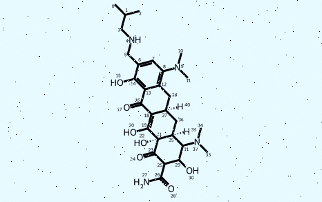 CC(C)CNCc1cc(N(C)C)c2c(c1O)C(=O)C1=C(O)[C@]3(O)C(=O)C(C(N)=O)C(O)C(N(C)C)[C@@H]3C[C@@H]1C2